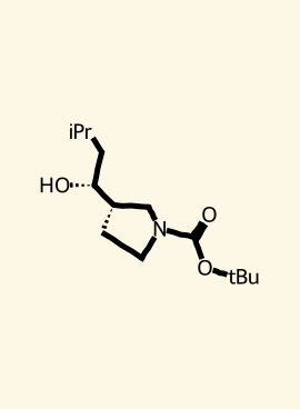 CC(C)C[C@@H](O)[C@H]1CCN(C(=O)OC(C)(C)C)C1